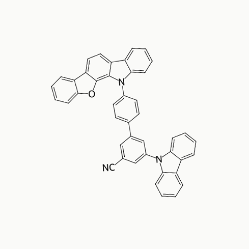 N#Cc1cc(-c2ccc(-n3c4ccccc4c4ccc5c6ccccc6oc5c43)cc2)cc(-n2c3ccccc3c3ccccc32)c1